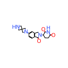 O=C1CCC(N2Cc3cc(N4CC5(CNC5)C4)ccc3C2=O)C(=O)N1